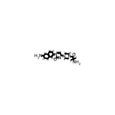 CC(C)(N)C(=O)N1CCN(c2ccn(-c3ccc4c(c3)CCC(N)C4)c(=O)n2)CC1